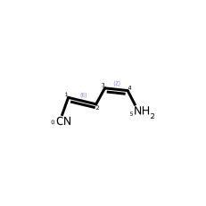 N#C/C=C/C=C\N